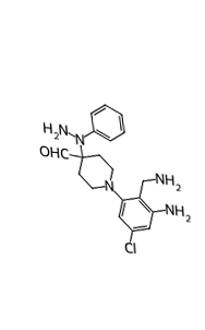 NCc1c(N)cc(Cl)cc1N1CCC(C=O)(N(N)c2ccccc2)CC1